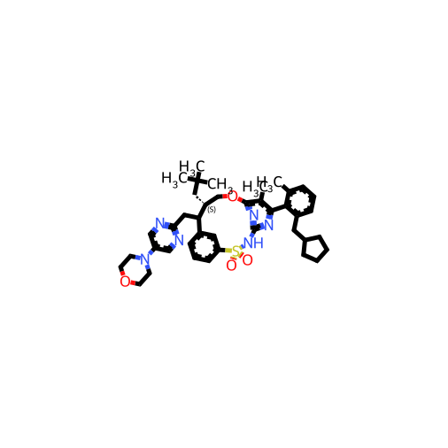 Cc1cccc(CC2CCCC2)c1-c1nc2nc(c1C)OC[C@@H](CC(C)(C)C)C(Cc1ncc(N3CCOCC3)cn1)c1cccc(c1)S(=O)(=O)N2